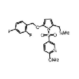 CNCc1ccc(OCc2ccc(F)cc2F)n1S(=O)(=O)c1ccc(OC)nc1